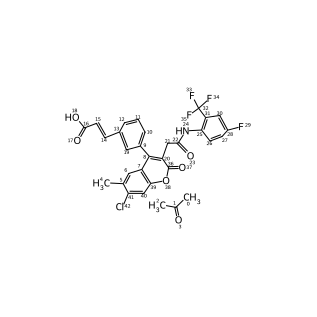 CC(C)=O.Cc1cc2c(-c3cccc(C=CC(=O)O)c3)c(CC(=O)Nc3ccc(F)cc3C(F)(F)F)c(=O)oc2cc1Cl